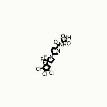 O=C(NC1CONC1=O)c1ccc(N2CCC(c3cc(Cl)c(Cl)c(Cl)c3)(C(F)(F)F)C2)cn1